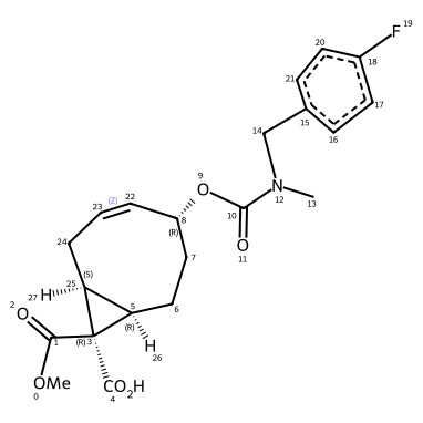 COC(=O)[C@]1(C(=O)O)[C@@H]2CC[C@@H](OC(=O)N(C)Cc3ccc(F)cc3)/C=C\C[C@@H]21